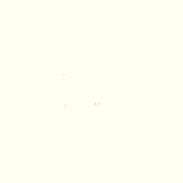 [Er+3].[O]=[Mn](=[O])(=[O])[O-].[O]=[Mn](=[O])(=[O])[O-].[O]=[Mn](=[O])(=[O])[O-]